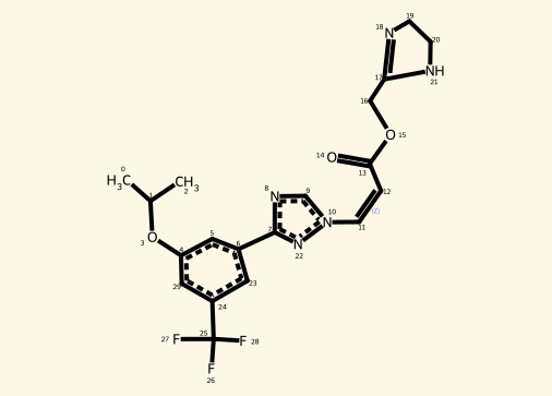 CC(C)Oc1cc(-c2ncn(/C=C\C(=O)OCC3=NCCN3)n2)cc(C(F)(F)F)c1